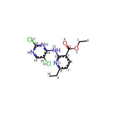 CCOC(=O)c1ccc(CC)nc1Nc1nc(Cl)ncc1Cl